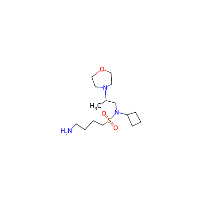 CC(CN(C1CCC1)S(=O)(=O)CCCCN)N1CCOCC1